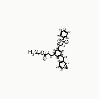 CCOC(=O)CCc1cc(CCS(=O)(=O)c2ccccc2)cc(Cc2cccnc2)c1